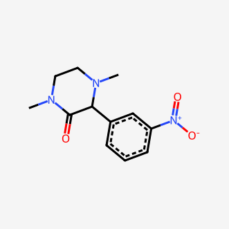 CN1CCN(C)C(c2cccc([N+](=O)[O-])c2)C1=O